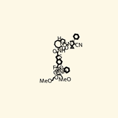 COCCOC(=O)[C@H](COC)NP(=O)(Oc1ccccc1)[C@@H](F)c1ccc2sc(C(=O)N[C@H]3CCCC[C@H]4CC[C@@H](C(=O)N5C[C@H](c6ccccc6)[C@@H](C#N)C56CC6)N4C3=O)cc2c1